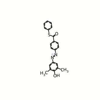 Cc1cc(/N=N/c2ccc(C(=O)Sc3ccccc3)cc2)cc(C)c1O